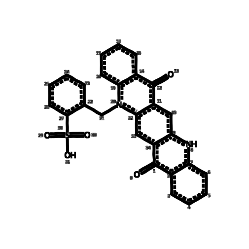 O=c1c2ccccc2[nH]c2cc3c(=O)c4ccccc4n(Cc4ccccc4S(=O)(=O)O)c3cc12